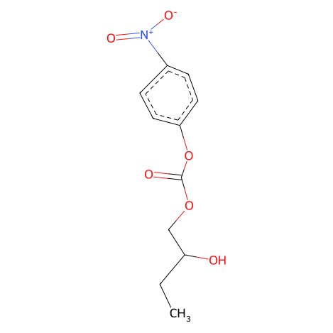 CCC(O)COC(=O)Oc1ccc([N+](=O)[O-])cc1